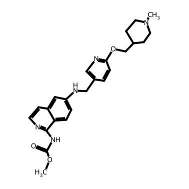 COC(=O)Nc1nccc2cc(NCc3ccc(OCC4CCN(C)CC4)nc3)ccc12